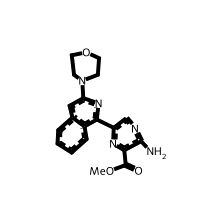 COC(=O)c1nc(-c2nc(N3CCOCC3)cc3ccccc23)cnc1N